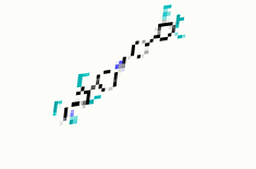 C/C(F)=C(\F)c1cc(F)c(C2CCC(/C=C/C3CCC(c4cc(F)c(F)c(F)c4)CC3)CC2)c(F)c1